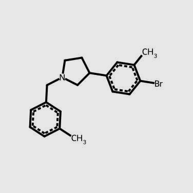 Cc1cccc(CN2CCC(c3ccc(Br)c(C)c3)C2)c1